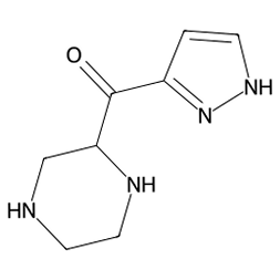 O=C(c1cc[nH]n1)C1CNCCN1